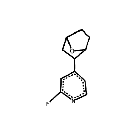 Fc1cc(C2CC3CCC2O3)ccn1